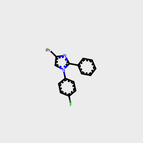 CC(C)c1[c]n(-c2ccc(F)cc2)c(-c2ccccc2)n1